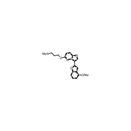 COc1cccc2oc(-c3cnc4ccc(OCCCSC)nn34)cc12